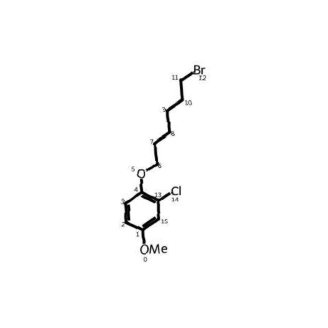 COc1ccc(OCCCCCCBr)c(Cl)c1